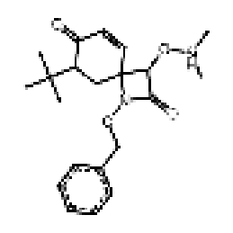 C[SiH](C)OC1C(=O)N(OCc2ccccc2)C12C=CC(=O)C(C(C)(C)C)C2